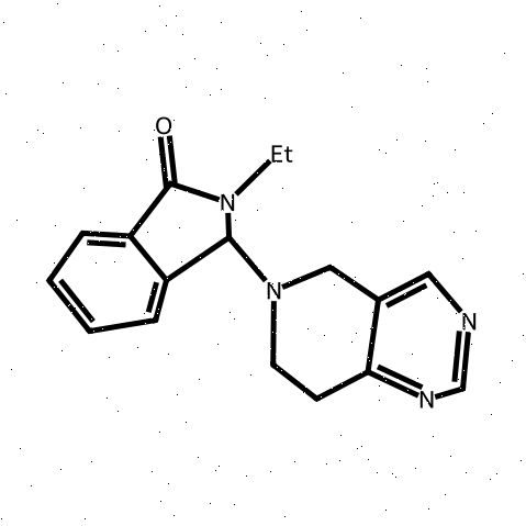 CCN1C(=O)c2ccccc2C1N1CCc2ncncc2C1